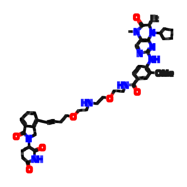 CC[C@@H]1C(=O)N(C)c2cnc(Nc3ccc(C(=O)NCCOCCNCCOCCC#Cc4cccc5c4CN(C4CCC(=O)NC4=O)C5=O)cc3OC)nc2N1C1CCCC1